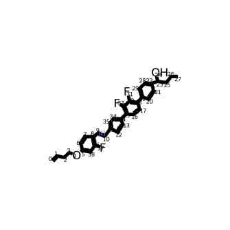 C=CCCOc1ccc(/C=C/c2ccc(-c3ccc(-c4ccc(C(O)CCC)cc4)c(F)c3F)cc2)c(F)c1